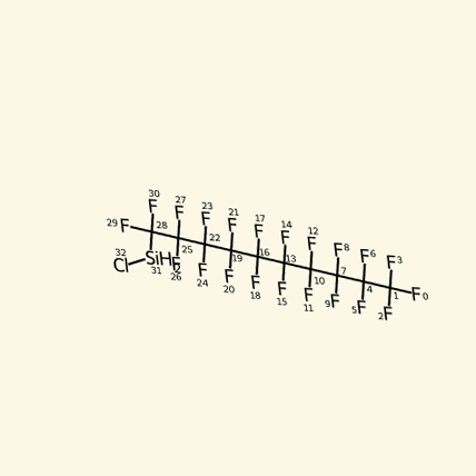 FC(F)(F)C(F)(F)C(F)(F)C(F)(F)C(F)(F)C(F)(F)C(F)(F)C(F)(F)C(F)(F)C(F)(F)[SiH2]Cl